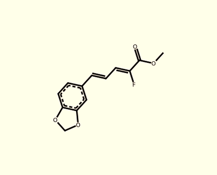 COC(=O)C(F)=CC=Cc1ccc2c(c1)OCO2